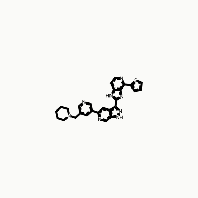 c1csc(-c2nccc3[nH]c(-c4n[nH]c5cnc(-c6cncc(CN7CCCCC7)c6)cc45)nc23)c1